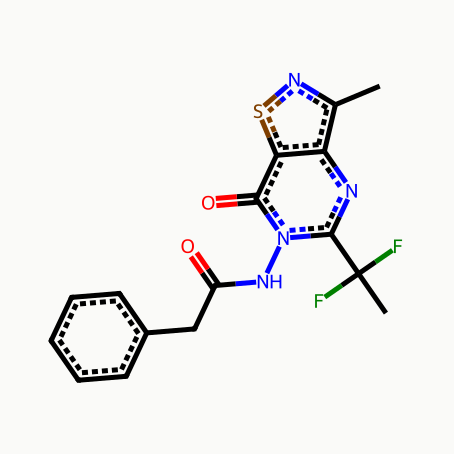 Cc1nsc2c(=O)n(NC(=O)Cc3ccccc3)c(C(C)(F)F)nc12